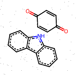 O=C1C=CC(=O)C=C1.c1ccc2c(c1)[nH]c1ccccc12